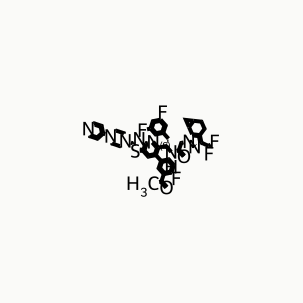 CC(=O)c1cc(-c2cc3sc(N4CCN(c5ccncc5)CC4)nc3nc2[C@H](Cc2cc(F)cc(F)c2)NC(=O)Cn2nc(C(F)F)c3c2C2CC2CC3)ccc1F